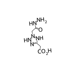 NNC(=O)CN1NN=C(CC(=O)O)N1